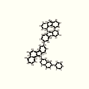 c1ccc(-c2ccc3ccc(-n4c5ccc(-c6ccc7c(c6)c6ccccc6n7-c6cccc7sc8ccccc8c67)cc5c5ccc6ccccc6c54)cc3c2)cc1